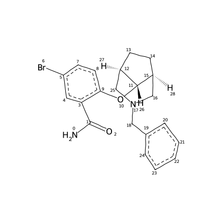 NC(=O)c1cc(Br)ccc1O[C@@H]1[C@@H]2CC[C@H]1CN(Cc1ccccc1)C2